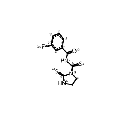 O=C(NC(=S)N1CCNC1=S)c1cccc(F)c1